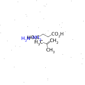 C=C(C)C.NN.O=C(O)CCC(=O)O